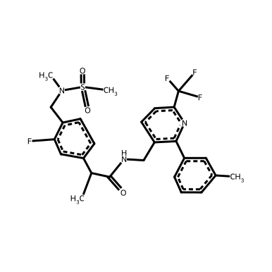 Cc1cccc(-c2nc(C(F)(F)F)ccc2CNC(=O)C(C)c2ccc(CN(C)S(C)(=O)=O)c(F)c2)c1